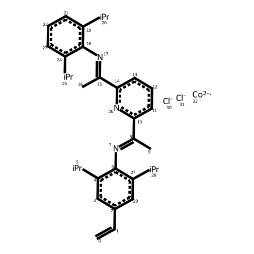 C=Cc1cc(C(C)C)c(/N=C(\C)c2cccc(/C(C)=N/c3c(C(C)C)cccc3C(C)C)n2)c(C(C)C)c1.[Cl-].[Cl-].[Co+2]